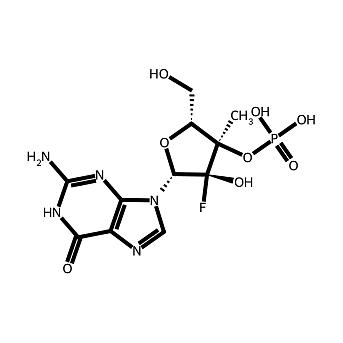 C[C@@]1(OP(=O)(O)O)[C@@H](CO)O[C@@H](n2cnc3c(=O)[nH]c(N)nc32)[C@@]1(O)F